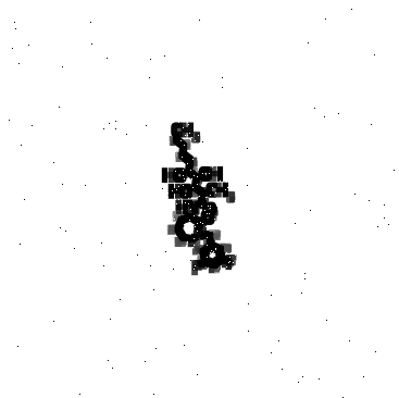 CCCC=C[C@@H](O)[C@H](O)[C@H](O)[C@@H](C)C(=O)N[C@H]1CCCCN(Cc2cc(F)cc(F)c2)C1=O